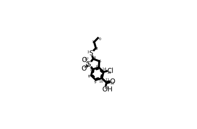 CCCSC1Cc2c(ccc(C(=O)O)c2Cl)S1(=O)=O